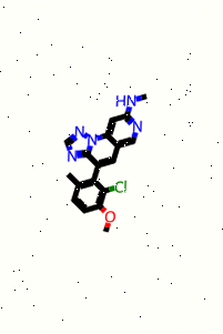 CNc1cc2c(cn1)cc(-c1c(C)ccc(OC)c1Cl)c1ncnn12